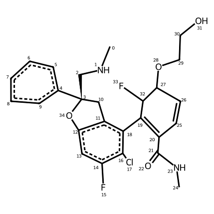 CNC[C@@]1(c2ccccc2)Cc2c(cc(F)c(Cl)c2C2=C(C(=O)NC)C=CC(OCCO)C2F)O1